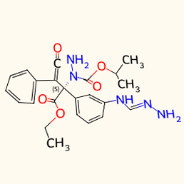 CCOC(=O)[C@@](C(=C=O)c1ccccc1)(c1cccc(NC=NN)c1)N(N)C(=O)OC(C)C